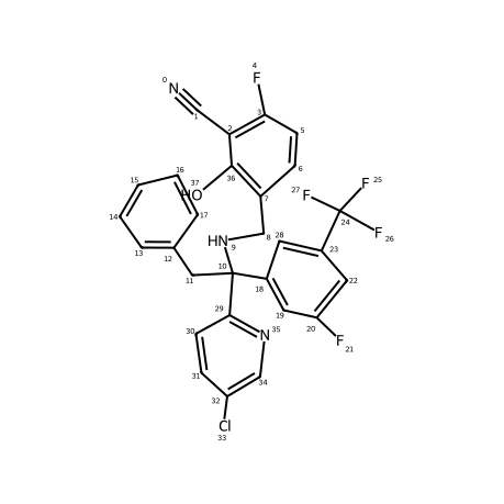 N#Cc1c(F)ccc(CNC(Cc2ccccc2)(c2cc(F)cc(C(F)(F)F)c2)c2ccc(Cl)cn2)c1O